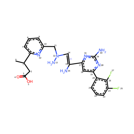 CC(CC(=O)O)c1cccc(CN(N)/C=C(\N)c2cc(-c3cccc(F)c3F)nc(N)n2)n1